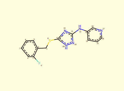 Fc1ccccc1CSc1nc(Nc2cccnc2)n[nH]1